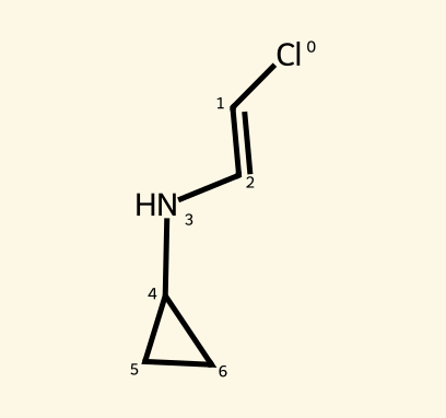 ClC=CNC1CC1